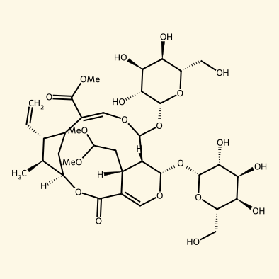 C=C[C@@H]1C2C[C@@H](OC(=O)C3=CO[C@@H](O[C@H]4O[C@@H](CO)[C@H](O)[C@H](O)[C@H]4O)[C@@H](C(O[C@H]4O[C@@H](CO)[C@H](O)[C@H](O)[C@H]4O)O/C=C\2C(=O)OC)[C@H]3CC(OC)OC)[C@H]1C